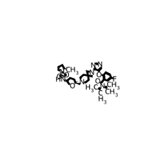 CC(C)N(C(=O)c1cc(F)ccc1Oc1cncnc1N1CC2(CCN(C[C@@H]3CC[C@@H](NS(=O)(=O)N4CCC[C@@H]4C)CO3)CC2)C1)C(C)C